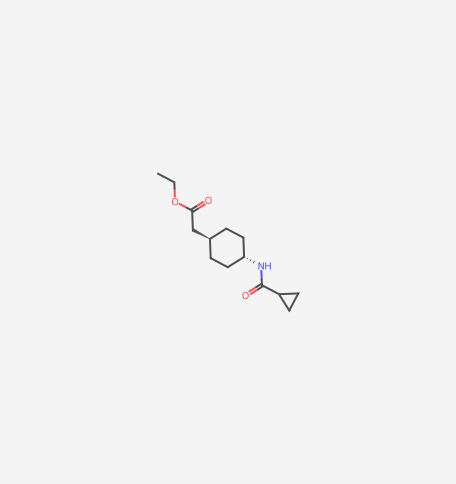 CCOC(=O)C[C@H]1CC[C@H](NC(=O)C2CC2)CC1